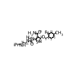 Cc1ccc(COc2nsc(NC(=O)NCCNC(C)C)c2C(N)=O)c(F)c1